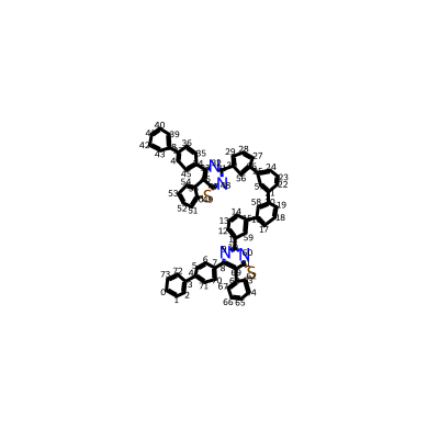 c1ccc(-c2ccc(-c3nc(-c4cccc(-c5cccc(-c6cccc(-c7cccc(-c8nc(-c9ccc(-c%10ccccc%10)cc9)c9c(n8)sc8ccccc89)c7)c6)c5)c4)nc4sc5ccccc5c34)cc2)cc1